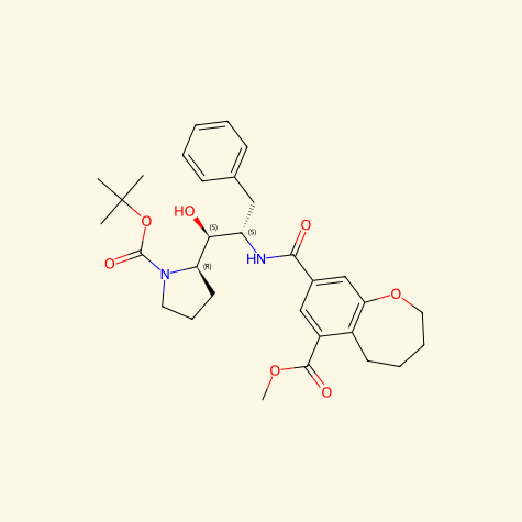 COC(=O)c1cc(C(=O)N[C@@H](Cc2ccccc2)[C@H](O)[C@H]2CCCN2C(=O)OC(C)(C)C)cc2c1CCCCO2